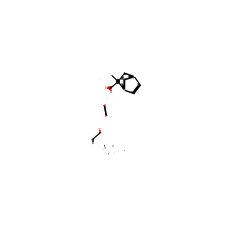 COCCOCCOC(=O)C1(C)CC2C=CC1C2